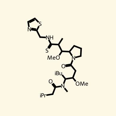 CCC(C)C(C(CC(=O)N1CCCC1C(OC)C(C)C(=S)NCc1nccs1)OC)N(C)C(=O)CC(C)C